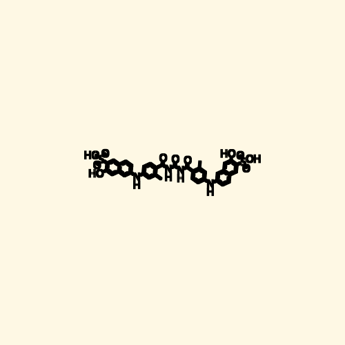 Cc1cc(Nc2ccc3cc(S(=O)(=O)O)c(O)cc3c2)ccc1C(=O)NC(=O)NC(=O)c1ccc(Nc2ccc3cc(S(=O)(=O)O)c(O)cc3c2)cc1C